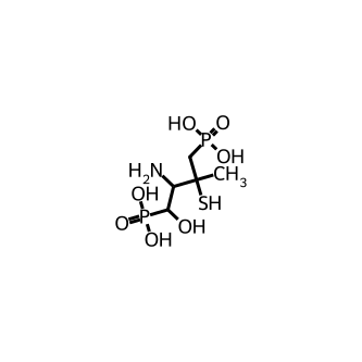 CC(S)(CP(=O)(O)O)C(N)C(O)P(=O)(O)O